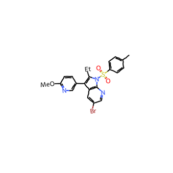 CCc1c(-c2ccc(OC)nc2)c2cc(Br)cnc2n1S(=O)(=O)c1ccc(C)cc1